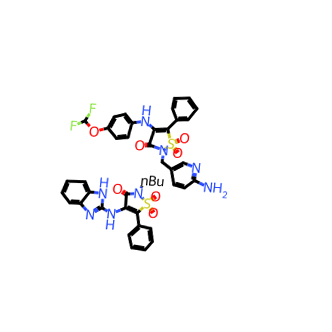 CCCCN1C(=O)C(Nc2nc3ccccc3[nH]2)=C(c2ccccc2)S1(=O)=O.Nc1ccc(CN2C(=O)C(Nc3ccc(OC(F)F)cc3)=C(c3ccccc3)S2(=O)=O)cn1